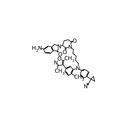 Cc1ccc(-c2c(C)noc2C)cc1N(CCCCCN1C(=O)CCC(N2Cc3cc(N)ccc3C2=O)C1=O)c1ccc(C2(C#N)CC2)cc1